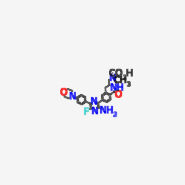 CN(CC1Cc2cc(-c3nc(-c4ccc(N5CCOCC5)cc4)c(F)nc3N)ccc2C(=O)N1)C(=O)O